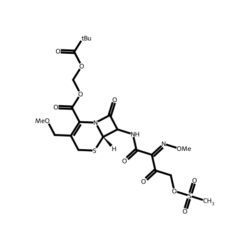 COCC1=C(C(=O)OCOC(=O)C(C)(C)C)N2C(=O)C(NC(=O)C(=NOC)C(=O)COS(C)(=O)=O)[C@@H]2SC1